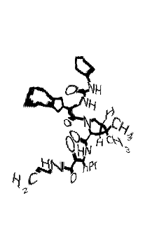 C=CCNC(=O)C(=O)C(CCC)NC(=O)[C@@H]1[C@@H]2[C@H](CN1C(=O)C(NC(=O)NC1CCCC1)C1Cc3ccccc3C1)C2(C)C